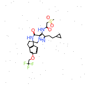 CS(=O)(=O)CC(=O)Nc1c(CCC2CC2)nn2c1C(=O)N[C@]1(CCc3cc(OCC(F)(F)F)ccc31)C2